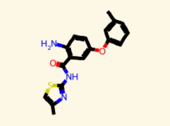 Cc1cccc(Oc2ccc(N)c(C(=O)Nc3nc(C)cs3)c2)c1